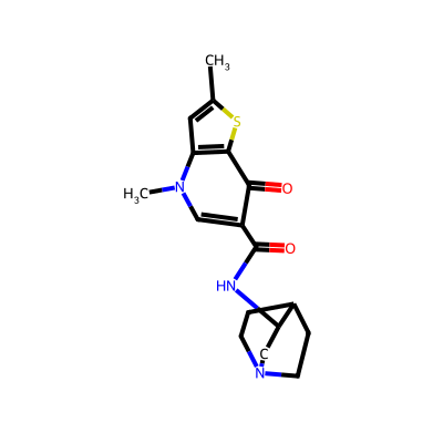 Cc1cc2c(s1)c(=O)c(C(=O)NC1CN3CCC1CC3)cn2C